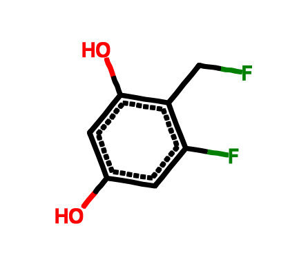 Oc1cc(O)c(CF)c(F)c1